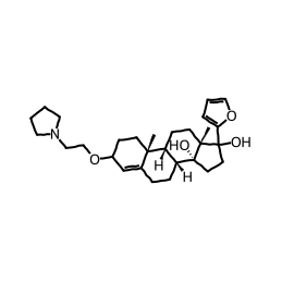 C[C@]12CCC(OCCN3CCCC3)C=C1CC[C@@H]1[C@H]2CC[C@]2(C)C(O)(c3ccco3)CC[C@@]12O